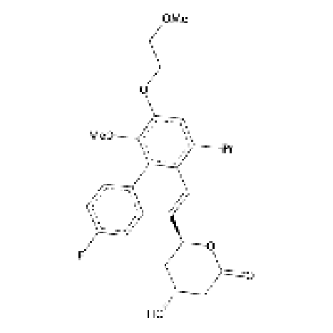 COCCOc1cc(C(C)C)c(/C=C/[C@@H]2C[C@@H](O)CC(=O)O2)c(-c2ccc(F)cc2)c1OC